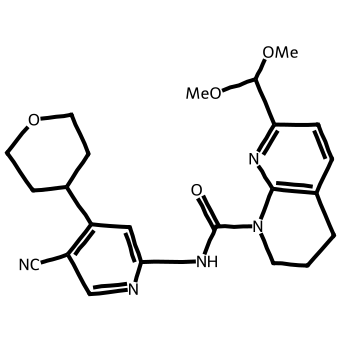 COC(OC)c1ccc2c(n1)N(C(=O)Nc1cc(C3CCOCC3)c(C#N)cn1)CCC2